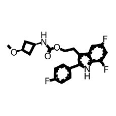 CO[C@H]1C[C@@H](NC(=O)OCCc2c(-c3ccc(F)cc3)[nH]c3c(F)cc(F)cc23)C1